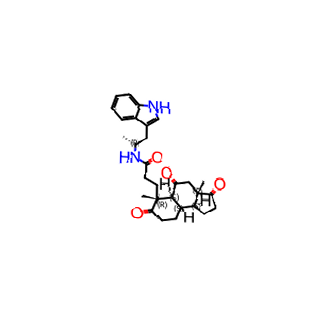 C[C@H](Cc1c[nH]c2ccccc12)NC(=O)CC[C@@]1(C)C(=O)CC[C@@H]2[C@@H]1C(=O)C[C@]1(C)C(=O)CC[C@@H]21